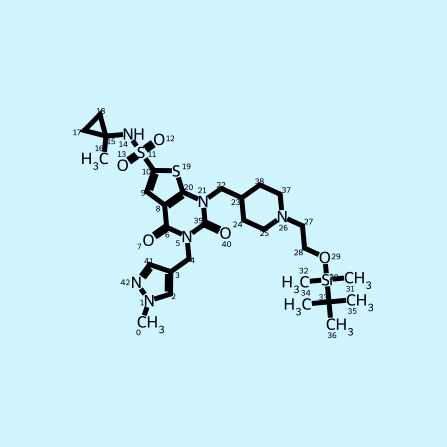 Cn1cc(Cn2c(=O)c3cc(S(=O)(=O)NC4(C)CC4)sc3n(CC3CCN(CCO[Si](C)(C)C(C)(C)C)CC3)c2=O)cn1